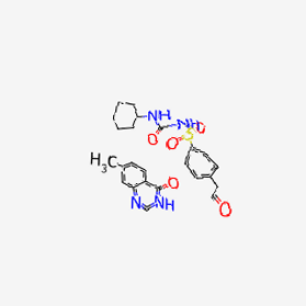 Cc1ccc2c(=O)[nH]cnc2c1.O=CCc1ccc(S(=O)(=O)NC(=O)NC2CCCCC2)cc1